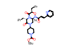 CC(C)C[C@H]1ON(C(=O)/C=C/c2ccccn2)[C@H]2CN(C3CCN(C(=O)OC(C)(C)C)CC3)C(=O)[C@H](CC(C)C)N2C1=O